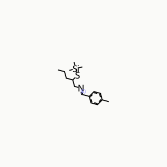 CCCC(C/N=C/c1ccc(C)cc1)S[Si](C)(C)C